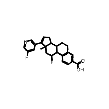 CC12CC(F)C3c4ccc(C(=O)O)cc4CCC3C1CC=C2c1cncc(F)c1